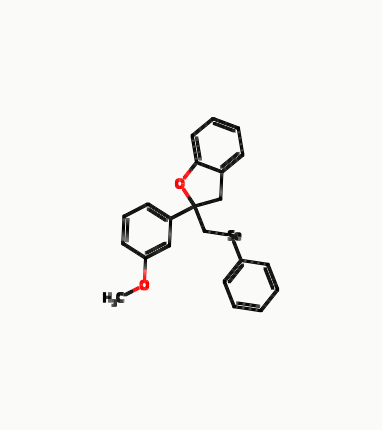 COc1cccc(C2(C[Se]c3ccccc3)Cc3ccccc3O2)c1